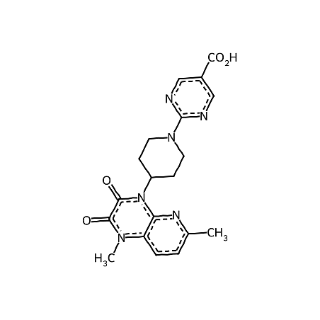 Cc1ccc2c(n1)n(C1CCN(c3ncc(C(=O)O)cn3)CC1)c(=O)c(=O)n2C